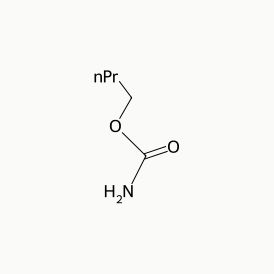 C[CH]CCOC(N)=O